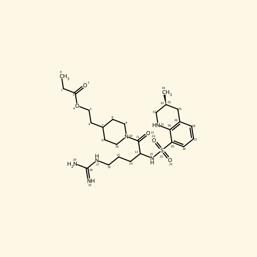 CCC(=O)OCCC1CCN(C(=O)C(CCCNC(=N)N)NS(=O)(=O)c2cccc3c2NC[C@@H](C)C3)CC1